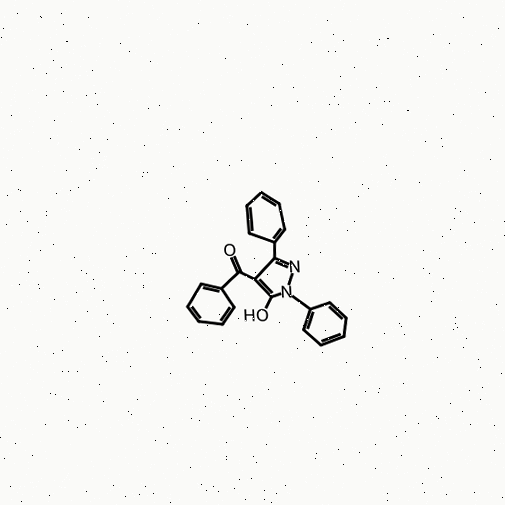 O=C(c1ccccc1)c1c(-c2ccccc2)nn(-c2ccccc2)c1O